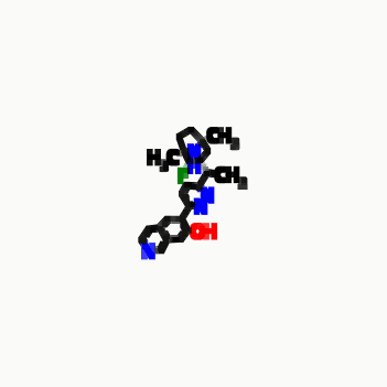 C=C(c1ccc(-c2cc3ccncc3cc2O)nn1)[C@H]1C[C@]2(C)CC[C@@](C)(N2)[C@H]1F